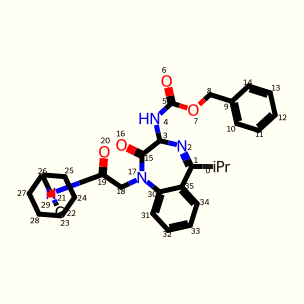 CC(C)C1=NC(NC(=O)OCc2ccccc2)C(=O)N(CC(=O)N2CC3CCC(CC3)C2)c2ccccc21